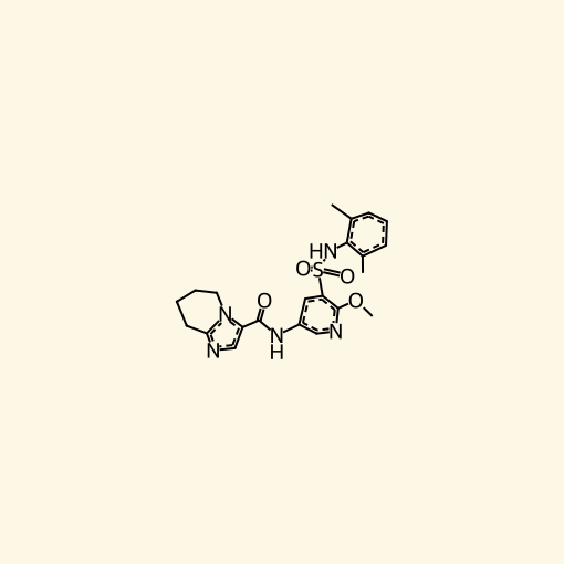 COc1ncc(NC(=O)c2cnc3n2CCCC3)cc1S(=O)(=O)Nc1c(C)cccc1C